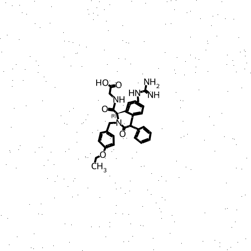 CCOc1ccc(CN(C(=O)C(c2ccccc2)c2ccccc2)[C@H](CCCNC(=N)N)C(=O)NCC(=O)O)cc1